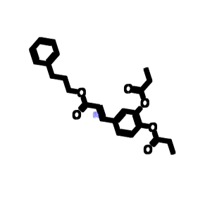 CCC(=O)Oc1ccc(/C=C/C(=O)OCCCc2ccccc2)cc1OC(=O)CC